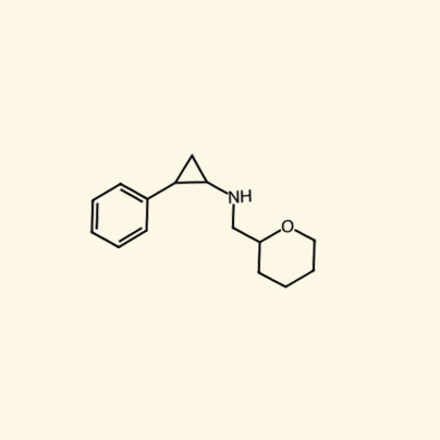 c1ccc(C2CC2NCC2CCCCO2)cc1